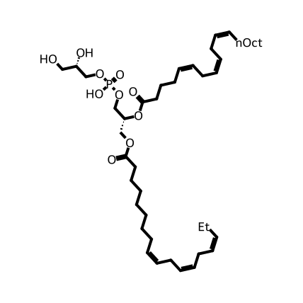 CC/C=C\C/C=C\C/C=C\CCCCCCCC(=O)OC[C@H](COP(=O)(O)OC[C@@H](O)CO)OC(=O)CCC/C=C\C/C=C\C/C=C\CCCCCCCC